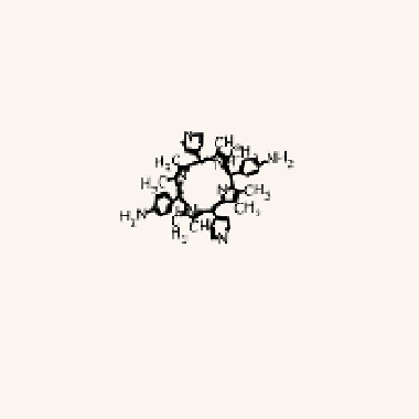 CC1=C(C)c2nc1c(-c1ccncc1)c1[nH]c(c(C)c1C)c(-c1ccc(N)cc1)c1nc(c(-c3ccncc3)c3[nH]c(c(C)c3C)c2-c2ccc(N)cc2)C(C)=C1C